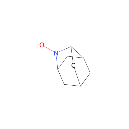 [O]N1C2CC3CC(C2)C1C3